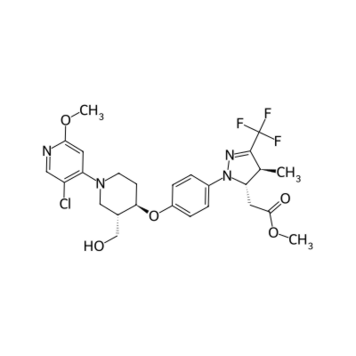 COC(=O)C[C@H]1[C@H](C)C(C(F)(F)F)=NN1c1ccc(O[C@@H]2CCN(c3cc(OC)ncc3Cl)C[C@H]2CO)cc1